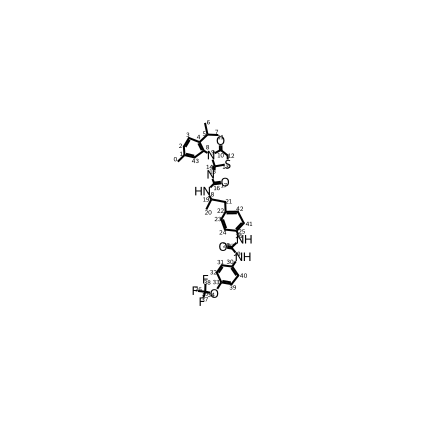 Cc1ccc(C(C)C)c(N2C(=O)CS/C2=N\C(=O)NC(C)Cc2ccc(NC(=O)Nc3ccc(OC(F)(F)F)cc3)cc2)c1